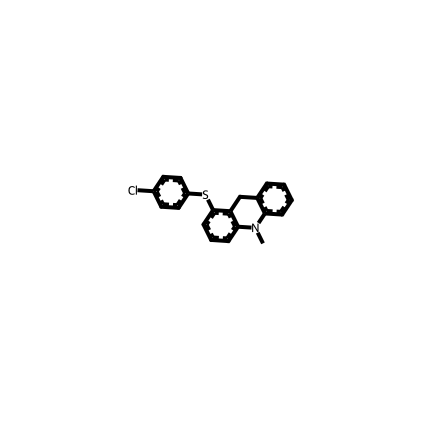 CN1c2ccccc2Cc2c(Sc3ccc(Cl)cc3)cccc21